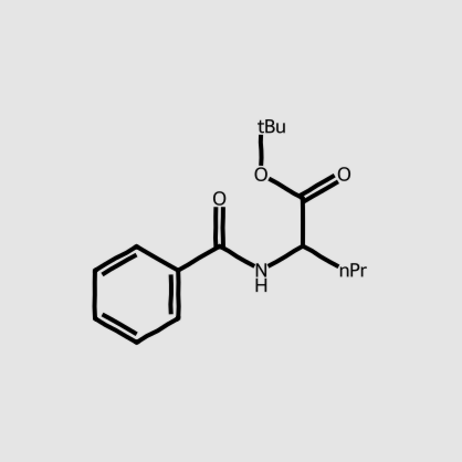 CCCC(NC(=O)c1ccccc1)C(=O)OC(C)(C)C